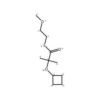 COCCSC(=O)C(C)(C)OC1CCC1